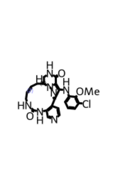 COc1c(Cl)cccc1Nc1c2nn3c1C(=O)NC[C@H]3C/C=C\CNC(=O)Nc1cnccc1-2